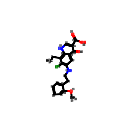 CCc1c(Cl)c(NCCc2ccccc2OC)cc2c(=O)c(C(=O)O)c[nH]c12